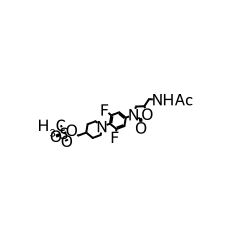 CC(=O)NCC1CN(c2cc(F)c(N3CCC(COS(C)(=O)=O)CC3)c(F)c2)C(=O)O1